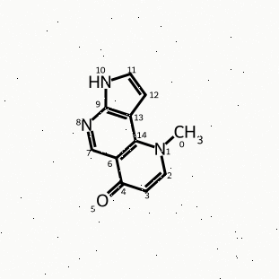 Cn1ccc(=O)c2cnc3[nH]ccc3c21